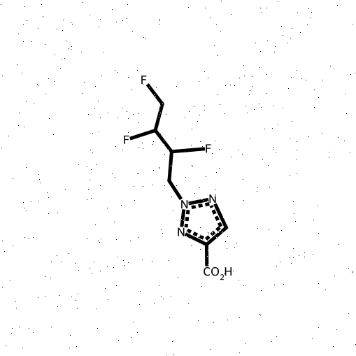 O=C(O)c1cnn(CC(F)C(F)CF)n1